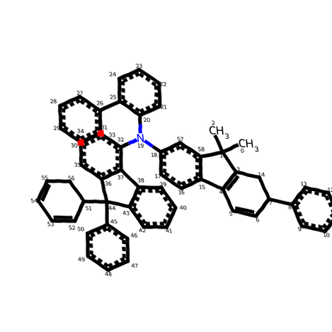 CC1(C)C2=C(C=CC(c3ccccc3)C2)c2ccc(N(c3ccccc3-c3ccccc3)c3cccc4c3-c3ccccc3C4(c3ccccc3)C3C=CC=CC3)cc21